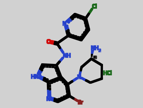 Cl.N[C@@H]1CCCN(c2c(Br)cnc3[nH]cc(NC(=O)c4ccc(Cl)cn4)c23)C1